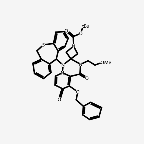 COCCN1C(=O)c2c(OCc3ccccc3)c(=O)ccn2N(C2c3ccccc3CSc3ccccc32)C12CN(C(=O)OC(C)(C)C)C2